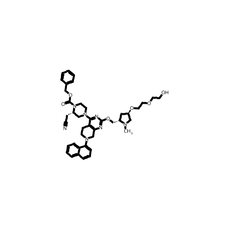 CN1C[C@H](OCCOCCO)C[C@H]1COc1nc2c(c(N3CCN(C(=O)OCc4ccccc4)[C@@H](CC#N)C3)n1)CCN(c1cccc3ccccc13)C2